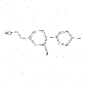 Cc1ccc(-c2ccc(CCO)cc2F)cc1